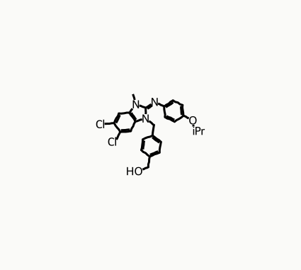 CC(C)Oc1ccc(/N=c2/n(C)c3cc(Cl)c(Cl)cc3n2Cc2ccc(CO)cc2)cc1